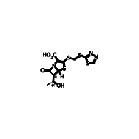 C[C@@H](O)[C@H]1C(=O)N2C(C(=O)O)=C(SCSc3nncs3)S[C@H]12